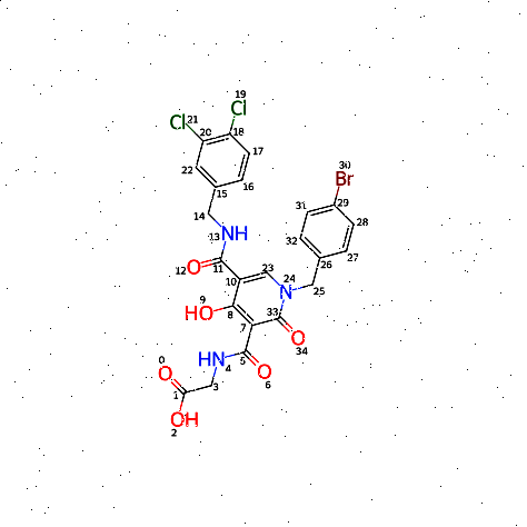 O=C(O)CNC(=O)c1c(O)c(C(=O)NCc2ccc(Cl)c(Cl)c2)cn(Cc2ccc(Br)cc2)c1=O